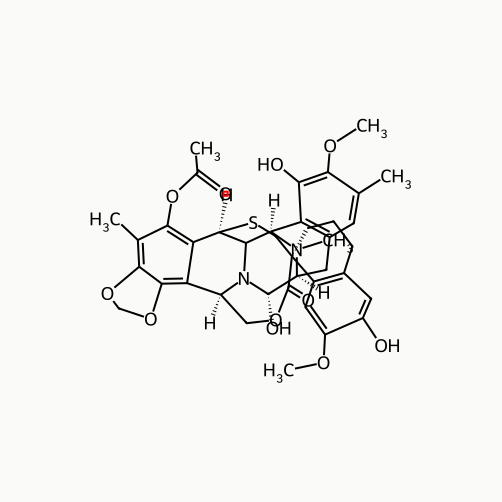 COc1cc2c(cc1O)CCC[C@]21CS[C@@H]2c3c(OC(C)=O)c(C)c4c(c3[C@H](COC1=O)N1C2[C@H]2c3c(cc(C)c(OC)c3O)C[C@@H]([C@@H]1O)N2C)OCO4